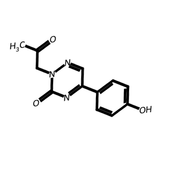 CC(=O)Cn1ncc(-c2ccc(O)cc2)nc1=O